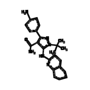 CC(C)(C)n1nc(-c2ccc(N)cc2)c(C(N)=O)c1Nc1ccc2ccccc2n1